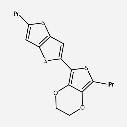 CC(C)c1cc2sc(-c3sc(C(C)C)c4c3OCCO4)cc2s1